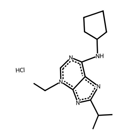 CCn1cnc(NC2CCCC2)c2nc(C(C)C)nc1-2.Cl